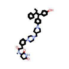 CC/C(=C(\c1ccc(O)cc1)c1ccc(N2CCC(CN3CCN(c4cccc(CC(=O)N(C)C5CCC(=O)NC5=O)c4)CC3)CC2)cc1)c1ccccc1